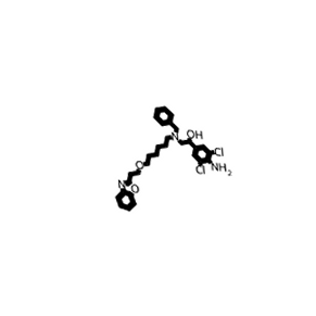 Nc1c(Cl)cc(C(O)CN(CCCCCCOCCc2nc3ccccc3o2)Cc2ccccc2)cc1Cl